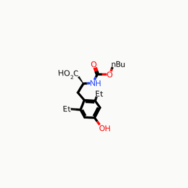 CCCCOC(=O)N[C@@H](Cc1c(CC)cc(O)cc1CC)C(=O)O